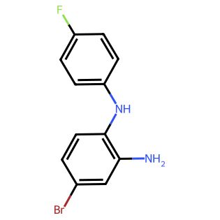 Nc1cc(Br)ccc1Nc1ccc(F)cc1